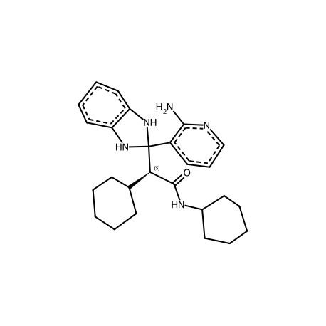 Nc1ncccc1C1([C@@H](C(=O)NC2CCCCC2)C2CCCCC2)Nc2ccccc2N1